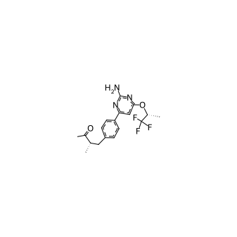 CC(=O)[C@@H](C)Cc1ccc(-c2cc(O[C@H](C)C(F)(F)F)nc(N)n2)cc1